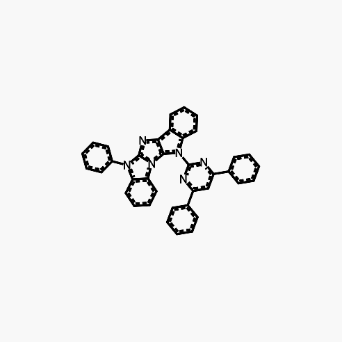 c1ccc(-c2cc(-c3ccccc3)nc(-n3c4ccccc4c4nc5n(-c6ccccc6)c6ccccc6n5c43)n2)cc1